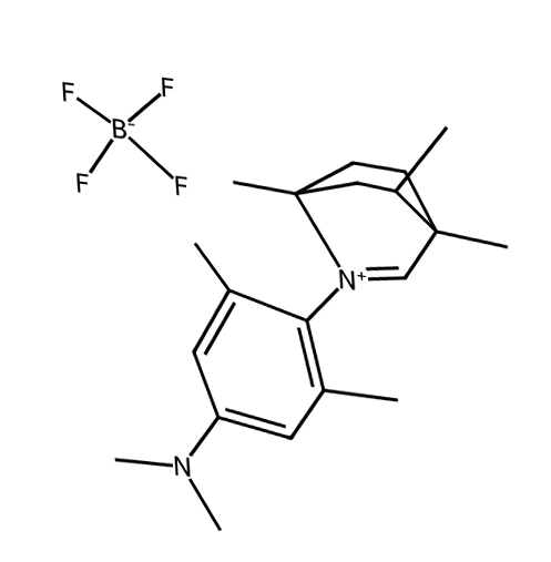 Cc1cc(N(C)C)cc(C)c1[N+]1=CC2(C)CCC1(C)CC2C.F[B-](F)(F)F